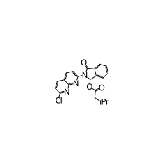 CC(C)CC(=O)OC1c2ccccc2C(=O)N1c1ccc2ccc(Cl)nc2n1